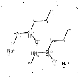 CCC[SiH]([O-])NC.CCC[SiH]([O-])NC.[Na+].[Na+]